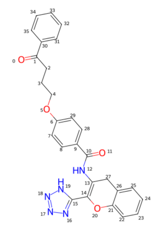 O=C(CCCOc1ccc(C(=O)NC2=C(c3nnn[nH]3)Oc3ccccc3C2)cc1)c1ccccc1